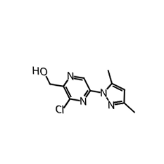 Cc1cc(C)n(-c2cnc(CO)c(Cl)n2)n1